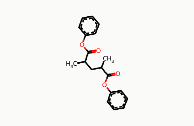 CC(CC(C)C(=O)Oc1ccccc1)C(=O)Oc1ccccc1